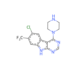 FC(F)(F)c1cc2[nH]c3ncnc(N4CCNCC4)c3c2cc1Cl